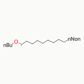 CCCCCCCCCCCCCCCCC[CH]OCCCC